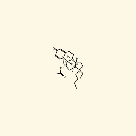 CCCS[C@]1(SC)CC[C@H]2[C@@H]3CCC4=CC(=O)C=C[C@]4(C)[C@@]3(F)[C@@H](OC(C)=O)C[C@@]21C